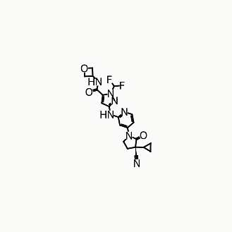 N#C[C@@]1(C2CC2)CCN(c2ccnc(Nc3cc(C(=O)NC4COC4)n(C(F)F)n3)c2)C1=O